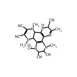 CC1=NC2=C(NC1C#N)C1C(C3=C2N(C)C(C#N)C(C#N)N3C)N(C)C(C#N)=C(C#N)N1C